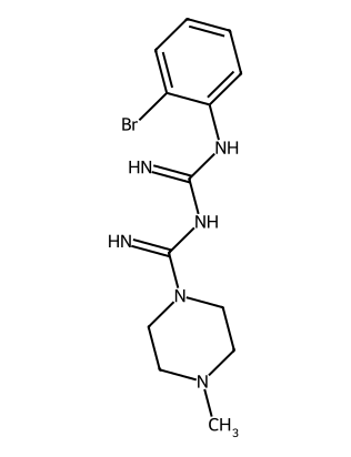 CN1CCN(C(=N)NC(=N)Nc2ccccc2Br)CC1